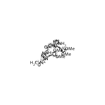 C=CC(=O)N1CCC(n2nc(C#Cc3cc(OC)cc(OC)c3)c3c(NCCC(=O)N4CC[C@H](n5nc(C#Cc6cc(OC)cc(OC)c6)c6c(N)ncnc65)C4)ncnc32)C1